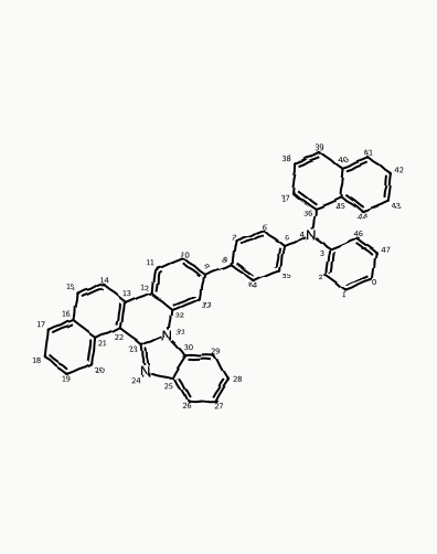 c1ccc(N(c2ccc(-c3ccc4c5ccc6ccccc6c5c5nc6ccccc6n5c4c3)cc2)c2cccc3ccccc23)cc1